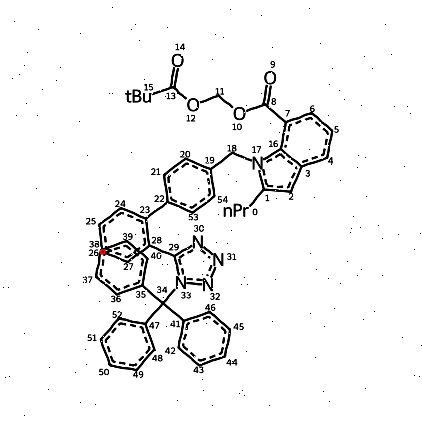 CCCc1cc2cccc(C(=O)OCOC(=O)C(C)(C)C)c2n1Cc1ccc(-c2ccccc2-c2nnnn2C(c2ccccc2)(c2ccccc2)c2ccccc2)cc1